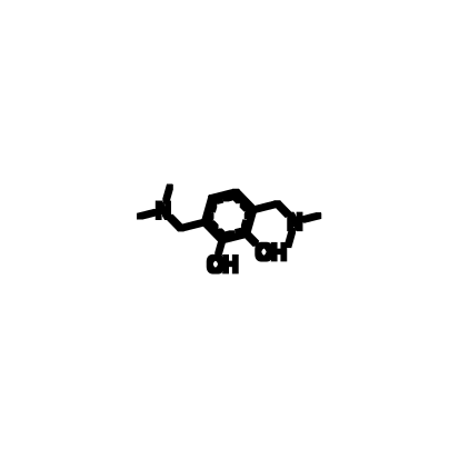 CN(C)Cc1ccc(CN(C)C)c(O)c1O